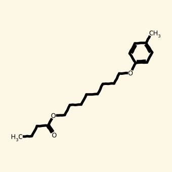 CCCC(=O)OCCCCCCCCOc1ccc(C)cc1